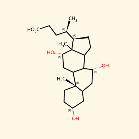 C[C@H](CCC(=O)O)[C@H]1CCC2C3C(C[C@H](O)C21C)[C@@]1(C)CC[C@@H](O)CC1C[C@H]3O